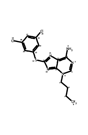 Nc1ncn(CCCC(F)(F)F)c2nc(Sc3cc(Cl)cc(Cl)c3)nc1-2